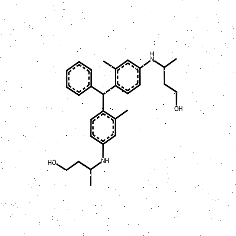 Cc1cc(NC(C)CCO)ccc1C(c1ccccc1)c1ccc(NC(C)CCO)cc1C